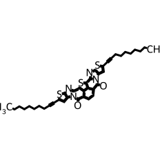 CCCCCCCCC#Cc1cc2c(nc3c4sc5c6c(ccc(c(=O)n23)c46)c(=O)n2c3cc(C#CCCCCCCCC)sc3nc52)s1